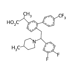 CC1CCN(C(Cc2ccc(C(C)C(=O)O)cc2-c2ccc(C(F)(F)F)cc2)c2ccc(F)c(F)c2)CC1